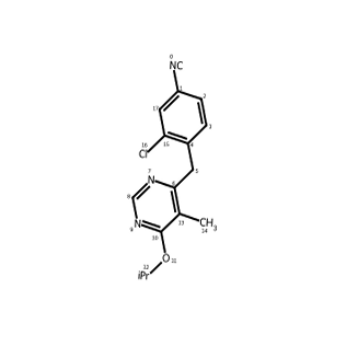 [C-]#[N+]c1ccc(Cc2ncnc(OC(C)C)c2C)c(Cl)c1